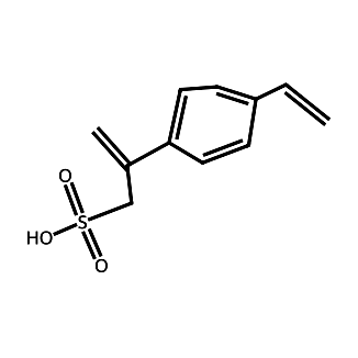 C=Cc1ccc(C(=C)CS(=O)(=O)O)cc1